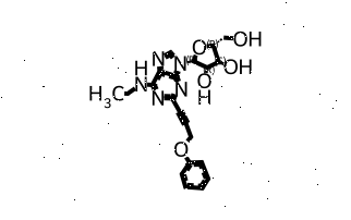 CCNc1nc(C#CCOc2ccccc2)nc2c1ncn2[C@@H]1O[C@H](CO)[C@@H](O)[C@H]1O